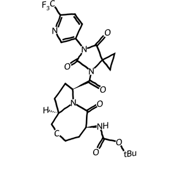 CC(C)(C)OC(=O)N[C@H]1CCCC[C@H]2CC[C@@H](C(=O)N3C(=O)N(c4ccc(C(F)(F)F)nc4)C(=O)C34CC4)N2C1=O